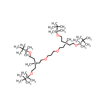 CC(C)(C)[Si](C)(C)OCC[Si](C)(CCOCCCOCC[Si](C)(CCO[Si](C)(C)C(C)(C)C)CCO[Si](C)(C)C(C)(C)C)CCO[Si](C)(C)C(C)(C)C